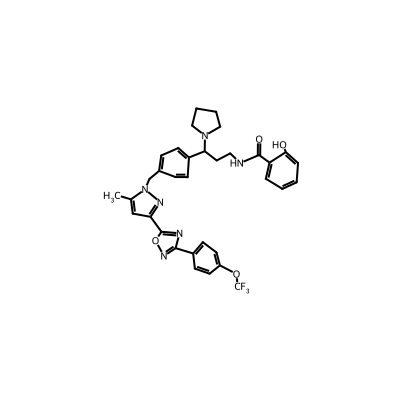 Cc1cc(-c2nc(-c3ccc(OC(F)(F)F)cc3)no2)nn1Cc1ccc(C(CCNC(=O)c2ccccc2O)N2CCCC2)cc1